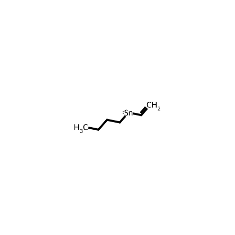 C=[CH][Sn][CH2]CCC